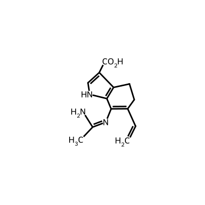 C=CC1=C(/N=C(/C)N)c2[nH]cc(C(=O)O)c2CC1